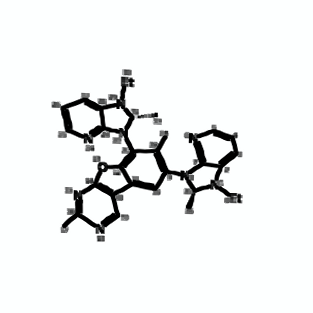 CCN1c2cccnc2N(c2cc3c(oc4nc(C)ncc43)c(N3c4ncccc4N(CC)[C@@H]3C)c2C)[C@@H]1C